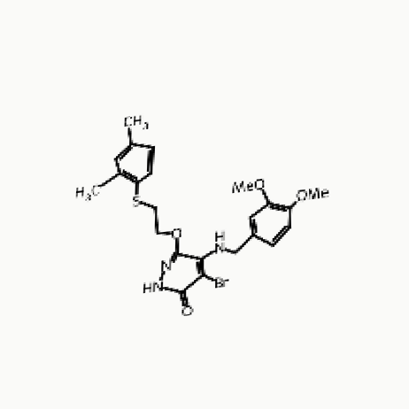 COc1ccc(CNc2c(OCCSc3ccc(C)cc3C)n[nH]c(=O)c2Br)cc1OC